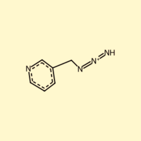 N=[N+]=NCc1cccnc1